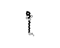 CCCCCCCCCCOC(=O)C(=O)c1ccccc1